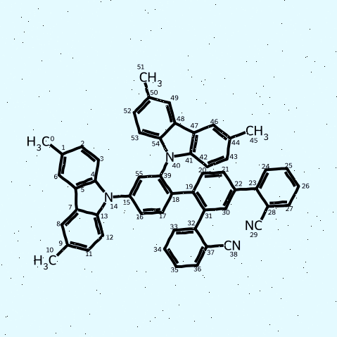 Cc1ccc2c(c1)c1cc(C)ccc1n2-c1ccc(-c2ccc(-c3ccccc3C#N)cc2-c2ccccc2C#N)c(-n2c3ccc(C)cc3c3cc(C)ccc32)c1